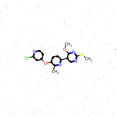 COc1nc(SC)ncc1-c1ccc(Oc2ccnc(Cl)c2)c(C)n1